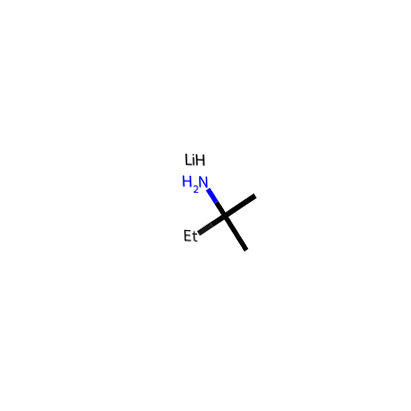 CCC(C)(C)N.[LiH]